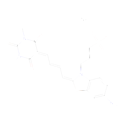 CN1C(=O)C(=CC=CC=C2Sc3cc(N)ccc3N2CCCS(=O)(=O)[O-])C(=O)N(C)C1=S.[Na+]